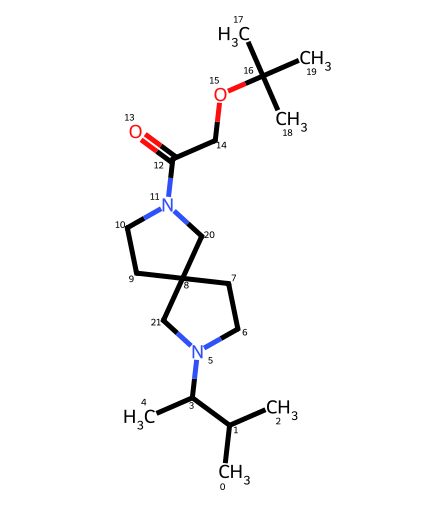 CC(C)C(C)N1CCC2(CCN(C(=O)COC(C)(C)C)C2)C1